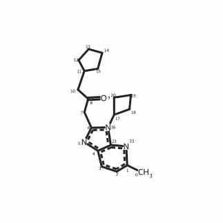 Cc1ccc2nc(CC(=O)CC3CCCC3)n(C3CCC3)c2n1